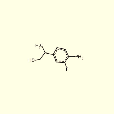 CC(CO)c1ccc(P)c(F)c1